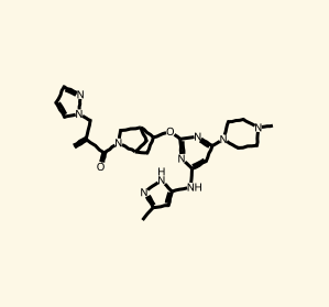 C=C(Cn1cccn1)C(=O)N1CC2CC1CC2Oc1nc(Nc2cc(C)n[nH]2)cc(N2CCN(C)CC2)n1